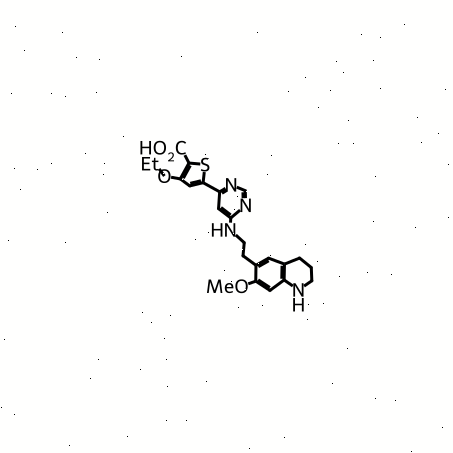 CCOc1cc(-c2cc(NCCc3cc4c(cc3OC)NCCC4)ncn2)sc1C(=O)O